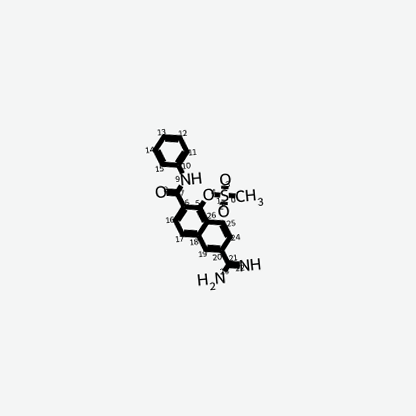 CS(=O)(=O)Oc1c(C(=O)Nc2ccccc2)ccc2cc(C(=N)N)ccc12